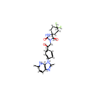 Cc1ccc2nc(C)n(-c3ccc(C(=O)CN4C(=O)NC5(CCC(F)(F)CC5)C4=O)cc3)c2n1